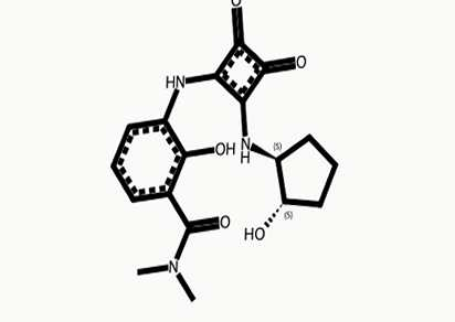 CN(C)C(=O)c1cccc(Nc2c(N[C@H]3CCC[C@@H]3O)c(=O)c2=O)c1O